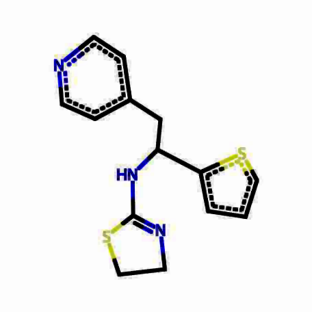 c1csc(C(Cc2ccncc2)NC2=NCCS2)c1